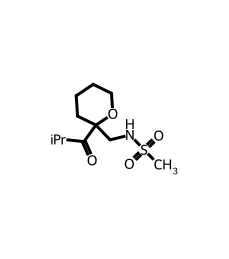 CC(C)C(=O)C1(CNS(C)(=O)=O)CCCCO1